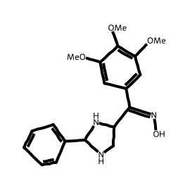 COc1cc(C(=NO)C2CNC(c3ccccc3)N2)cc(OC)c1OC